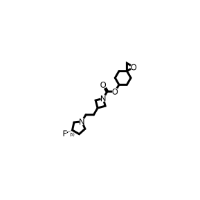 O=C(OC1CCC2(CC1)CO2)N1CC(CCN2CC[C@H](F)C2)C1